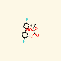 COC(O)C(=O)O.Fc1ccc(-c2ccc(F)cc2)cc1